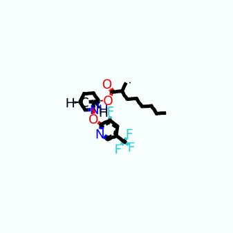 [CH2]C(CCCCCC)C(=O)O[C@]12CC[C@@H](CN1)C[C@H]2Oc1ncc(C(F)(F)F)cc1F